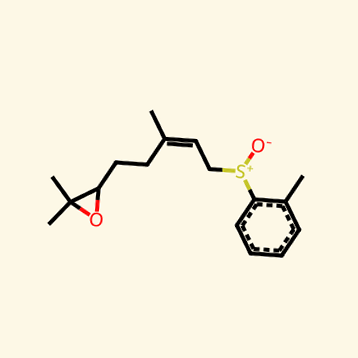 CC(=CC[S+]([O-])c1ccccc1C)CCC1OC1(C)C